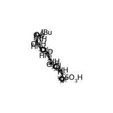 CC(C)C[C@H](NC(=O)OC(C)(C)C)C(=O)NNc1ccc(C(=O)NCCNC(=O)c2ccc(NN=Cc3ccccc3S(=O)(=O)O)nc2)cc1